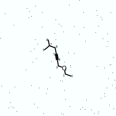 CCOCC#CCC(C)C